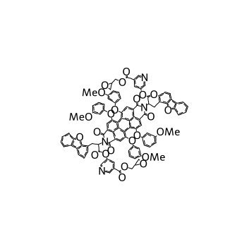 COc1cccc(Oc2cc3c4c(cc(Oc5cccc(OC)c5)c5c6c(Oc7cccc(OC)c7)cc7c8c(cc(Oc9cccc(OC)c9)c(c2c45)c86)C(=O)N(C(Cc2cccc4c2oc2ccccc24)C(=O)Oc2cncc(C(=O)OCC4CO4)c2)C7=O)C(=O)N(C(Cc2cccc4c2oc2ccccc24)C(=O)Oc2cncc(C(=O)OCC4CO4)c2)C3=O)c1